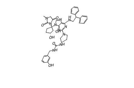 CN1CC(=O)N([C@]2(n3cnc4c(NCC(c5ccccc5)c5ccccc5)nc(N5CCC(NC(=O)NCc6cccc(O)c6)C5)nc43)CC[C@@H](O)[C@H]2O)C1=O